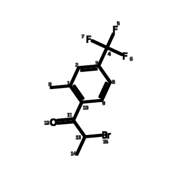 Cc1cc(C(F)(F)F)ccc1C(=O)C(C)Br